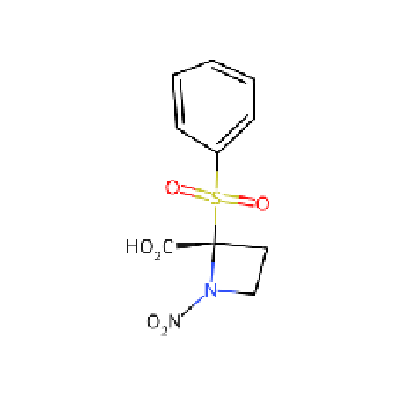 O=C(O)[C@@]1(S(=O)(=O)c2ccccc2)CCN1[N+](=O)[O-]